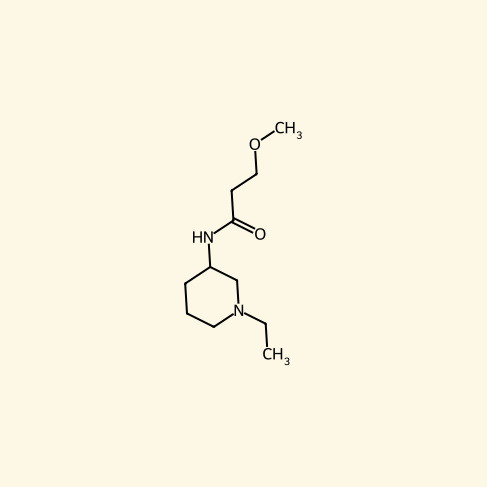 CCN1CCCC(NC(=O)CCOC)C1